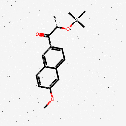 COc1ccc2cc(C(=O)[C@H](C)O[Si](C)(C)C)ccc2c1